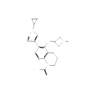 CCN1CC(Oc2c(-c3cnn(C4CC4)c3)ccc3c2CC[C@H](C)N3C(=O)OC)C1